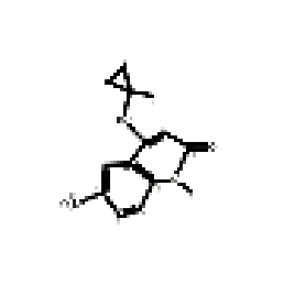 Cn1c(=O)cc(NC2(C)CC2)c2cc([N+](=O)[O-])ccc21